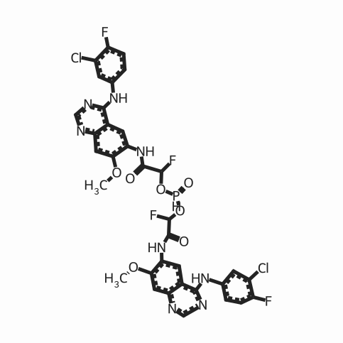 COc1cc2ncnc(Nc3ccc(F)c(Cl)c3)c2cc1NC(=O)C(F)O[PH](=O)OC(F)C(=O)Nc1cc2c(Nc3ccc(F)c(Cl)c3)ncnc2cc1OC